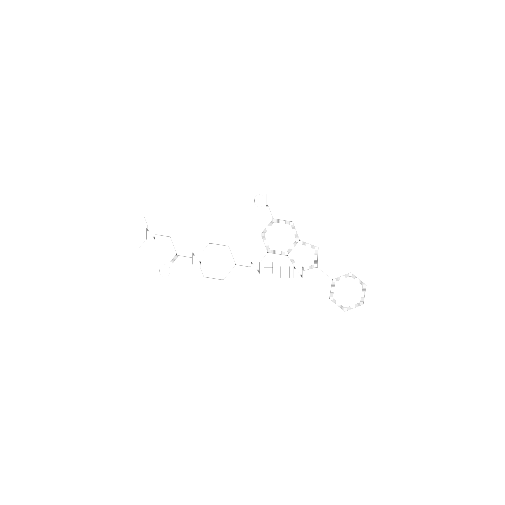 CN(C)CC(=O)N1CCC(Nc2cc(Cl)cc3cc(-c4ccccc4)[nH]c23)CC1